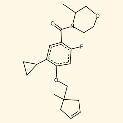 CC1COCCN1C(=O)c1cc(C2CC2)c(OCC2(C)CC=CC2)cc1F